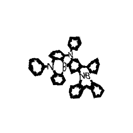 c1ccc(N2c3ccccc3B3c4cc5c(cc4N(c4ccccc4)c4cccc2c43)-c2ccccc2B2c3ccccc3-c3ccccc3N25)cc1